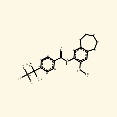 COc1cc2c(cc1NC(=O)c1ccc(C(C)(C)C(F)(F)F)cc1)CCCCC2